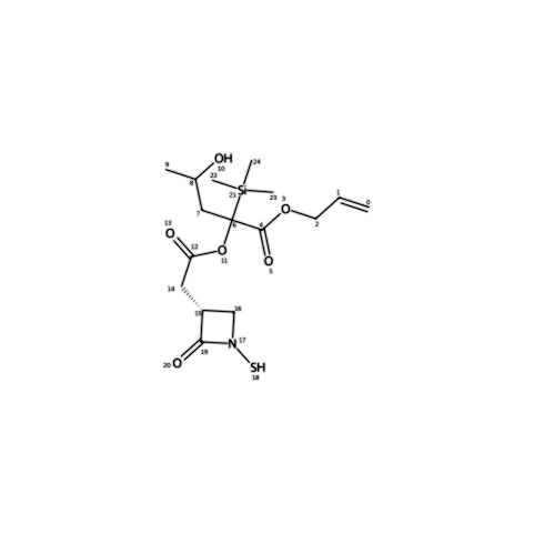 C=CCOC(=O)C(CC(C)O)(OC(=O)C[C@@H]1CN(S)C1=O)[Si](C)(C)C